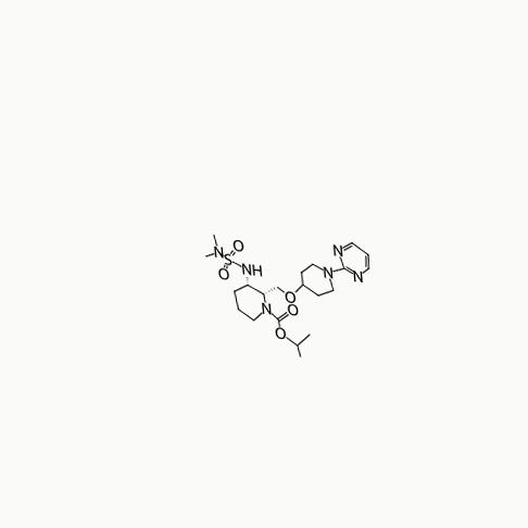 CC(C)OC(=O)N1CCC[C@H](NS(=O)(=O)N(C)C)[C@@H]1COC1CCN(c2ncccn2)CC1